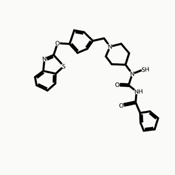 O=C(NC(=O)N(S)C1CCN(Cc2ccc(Oc3nc4ccccc4s3)cc2)CC1)c1ccccc1